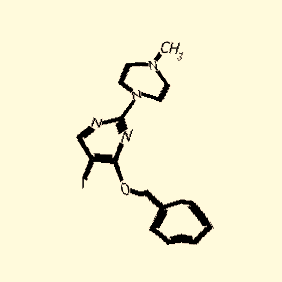 CN1CCN(c2ncc(I)c(OCc3ccccc3)n2)CC1